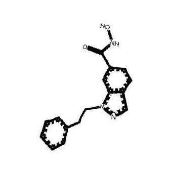 O=C(NO)c1ccc2cnn(CCc3ccccc3)c2c1